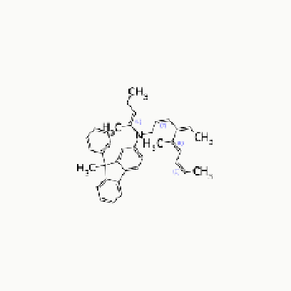 CC=C(/C=C\CN(/C(C)=C/CC)c1ccc2c(c1)C(C)(c1ccccc1)c1ccccc1-2)/C(C)=C/C=C\C